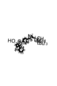 CC(C)(C)[Si](C)(C)OCc1cnc(-c2ccc(N(CC3(c4ncccc4F)CCC3)C(=O)O)nn2)s1